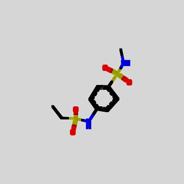 CCS(=O)(=O)Nc1ccc(S(=O)(=O)NC)cc1